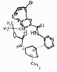 C[C@@H]1C[C@H](NC(=O)OC(C)(C)C)C[C@H](c2ccncc2NC(=O)c2ccn3ncc(Br)c3n2)C1